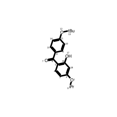 CC(C)Oc1ccc(C(=O)c2ccc(OC(C)(C)C)cc2)c(O)c1